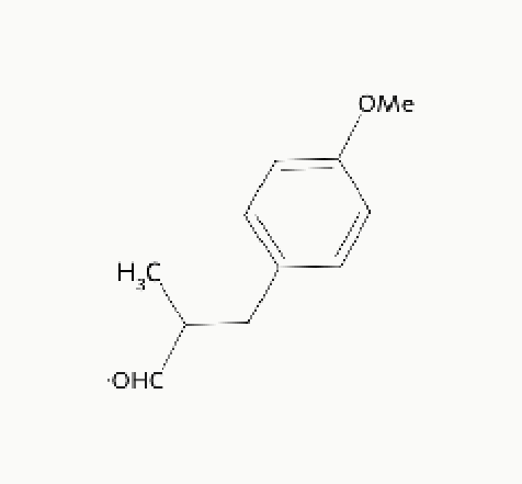 COc1ccc(CC(C)[C]=O)cc1